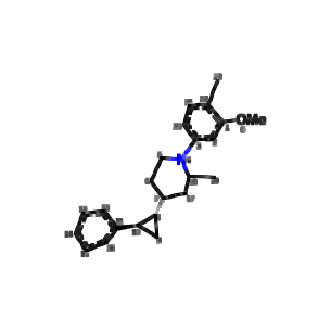 COc1cc(N2CCC([C@@H]3C[C@H]3c3ccccc3)CC2C)ccc1C